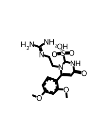 COc1ccc(C2=CC(=O)NC(S(=O)(=O)O)N2CCN=C(N)N)c(OC)c1